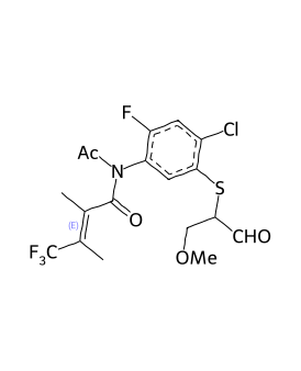 COCC(C=O)Sc1cc(N(C(C)=O)C(=O)/C(C)=C(\C)C(F)(F)F)c(F)cc1Cl